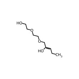 CCC=C(O)COCCOCCO